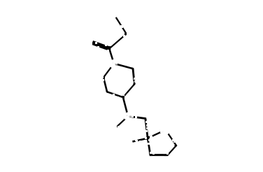 CCC(=O)N1CCC(N(C)CC2(C)CCCO2)CC1